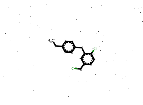 CCc1ccc(Cc2cc(CCl)ccc2Cl)cc1